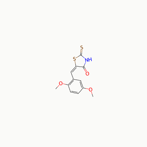 COc1ccc(OC)c(C=C2SC(=S)NC2=O)c1